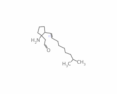 CC(C)CCCCC/C=C/C1CCCC1(N)CC=O